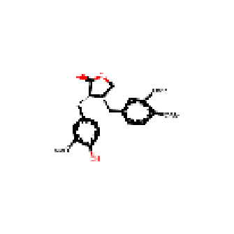 COc1cc(C[C@@H]2C(=O)OC[C@H]2Cc2ccc(OC)c(OC)c2)ccc1O